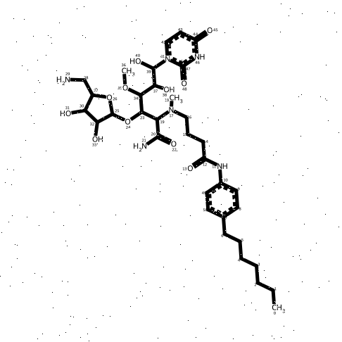 CCCCCCCc1ccc(NC(=O)CCCN(C)C(C(N)=O)C(OC2OC(CN)C(O)C2O)C(OC)C(O)C(O)n2ccc(=O)[nH]c2=O)cc1